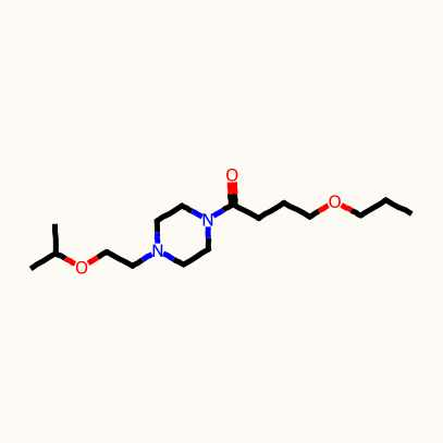 CCCOCCCC(=O)N1CCN(CCOC(C)C)CC1